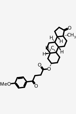 COc1ccc(C(=O)CCC(=O)O[C@H]2CC[C@@]3(C)[C@@H](CC[C@@H]4[C@@H]3CC[C@]3(C)C(=O)CC[C@@H]43)C2)cc1